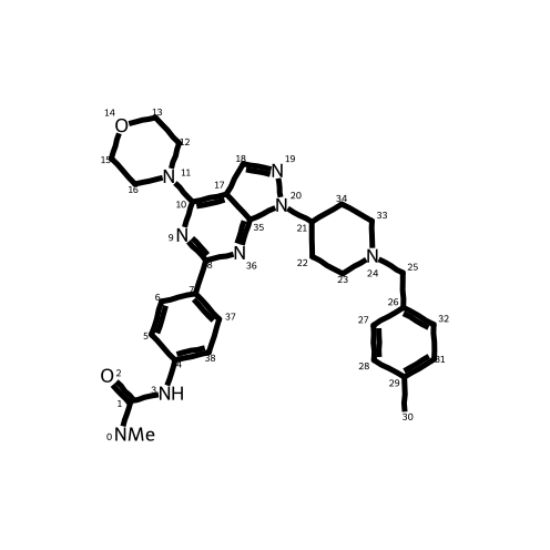 CNC(=O)Nc1ccc(-c2nc(N3CCOCC3)c3cnn(C4CCN(Cc5ccc(C)cc5)CC4)c3n2)cc1